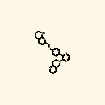 c1cnc2c(c1)CN(c1nccnc1-c1ccc(OCc3ccc4c(n3)NCCC4)cc1)CC2